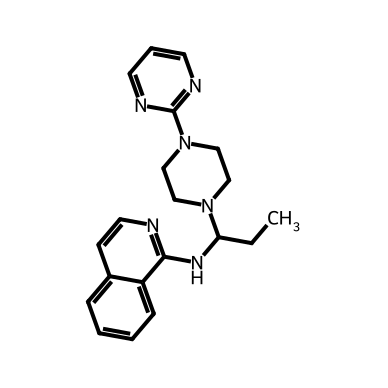 CCC(Nc1nccc2ccccc12)N1CCN(c2ncccn2)CC1